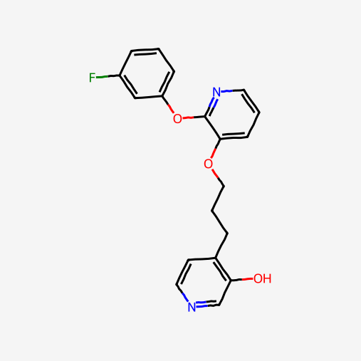 Oc1cnccc1CCCOc1cccnc1Oc1cccc(F)c1